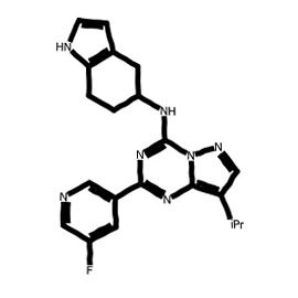 CC(C)c1cnn2c(NC3CCc4[nH]ccc4C3)nc(-c3cncc(F)c3)nc12